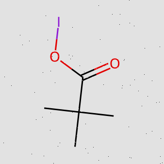 CC(C)(C)C(=O)OI